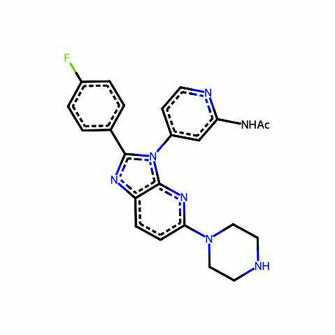 CC(=O)Nc1cc(-n2c(-c3ccc(F)cc3)nc3ccc(N4CCNCC4)nc32)ccn1